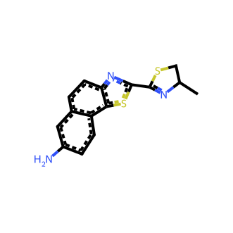 CC1CSC(c2nc3ccc4cc(N)ccc4c3s2)=N1